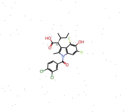 CCC(C)[C@H](C(=O)O)c1c(C)n(C(=O)c2ccc(Cl)c(Cl)c2)c2cc(F)c(O)c(F)c12